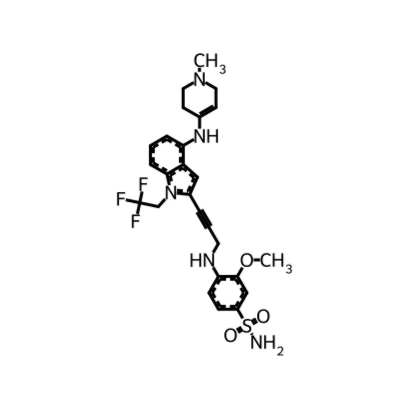 COc1cc(S(N)(=O)=O)ccc1NCC#Cc1cc2c(NC3=CCN(C)CC3)cccc2n1CC(F)(F)F